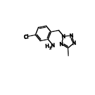 Cc1nnn(Cc2ccc(Cl)cc2N)n1